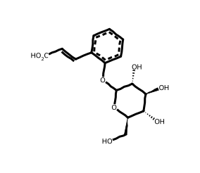 O=C(O)C=Cc1ccccc1OC1O[C@H](CO)[C@@H](O)[C@H](O)[C@H]1O